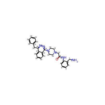 NCc1ccccc1NC(=O)CN1CCN(c2nnc(Cc3ccccc3)c3ccccc23)CC1